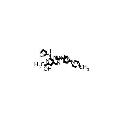 CC(O)c1cc2cnc(Nc3ccc(N4CCN(C)CC4)nn3)nc2c(N[C@H]2CCCOC2)n1